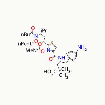 CCCCCON(C(=O)CCCC)C(CC(OC(=O)NC)c1nc(C(=O)NC(Cc2ccc(N)cc2)CC(C)(C)C(=O)O)cs1)C(C)C